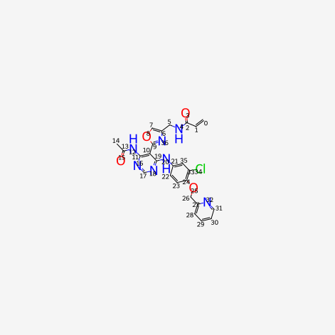 C=CC(=O)NCc1coc(-c2c(NC(C)=O)ncnc2Nc2ccc(OCc3ccccn3)c(Cl)c2)n1